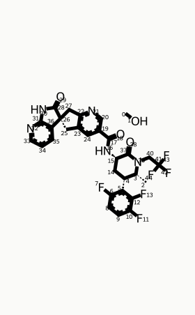 CO.C[C@@H]1[C@H](c2c(F)ccc(F)c2F)C[C@H](NC(=O)c2cnc3c(c2)C[C@@]2(C3)C(=O)Nc3ncccc32)C(=O)N1CC(F)(F)F